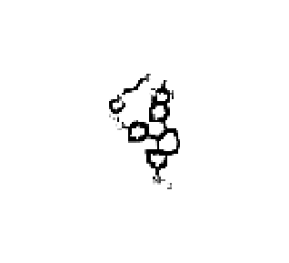 Cc1nc2cc(C3=C(c4ccc(O[C@H]5CCN(CCCF)C5)cc4)c4ccc(N)cc4CCC3)ccc2o1